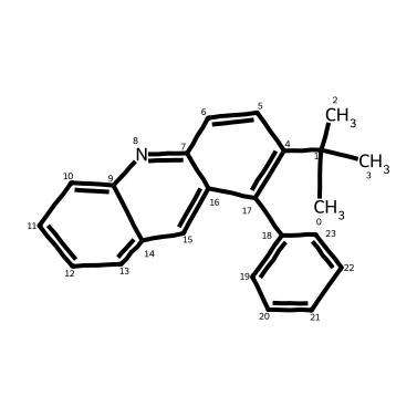 CC(C)(C)c1ccc2nc3ccccc3cc2c1-c1ccccc1